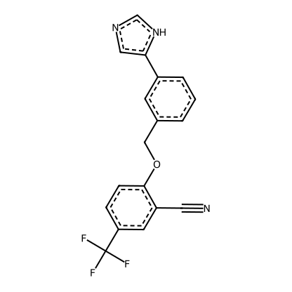 N#Cc1cc(C(F)(F)F)ccc1OCc1cccc(-c2cnc[nH]2)c1